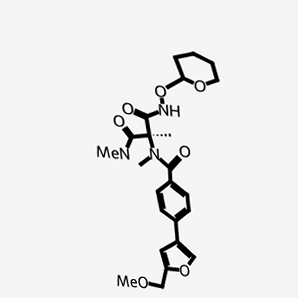 CNC(=O)[C@@](C)(C(=O)NOC1CCCCO1)N(C)C(=O)c1ccc(-c2coc(COC)c2)cc1